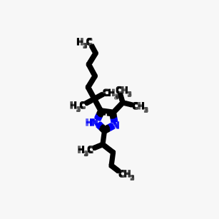 CCCCCC(C)(C)c1[nH]c(C(C)CCC)nc1C(C)C